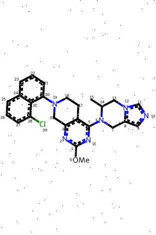 COc1nc2c(c(N3Cc4cncn4CC3C)n1)CCN(c1cccc3cccc(Cl)c13)C2